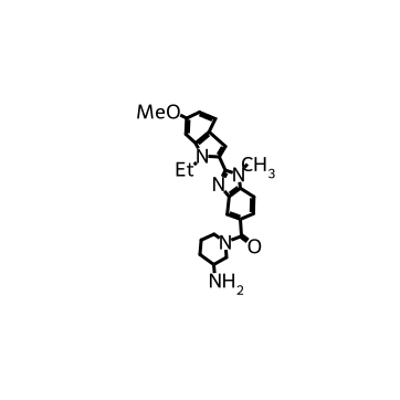 CCn1c(-c2nc3cc(C(=O)N4CCCC(N)C4)ccc3n2C)cc2ccc(OC)cc21